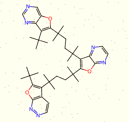 CC(C)(C)c1oc2nnccc2c1C(C)(C)CCC(C)(C)c1oc2nccnc2c1C(C)(C)CCC(C)(C)c1oc2cncnc2c1C(C)(C)C